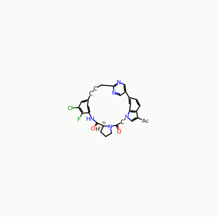 CC(=O)c1cn2c3cc(ccc13)-c1cnc(nc1)CCCc1cc(Cl)c(F)c(c1)NC(=O)[C@@H]1CCCN1C(=O)C2